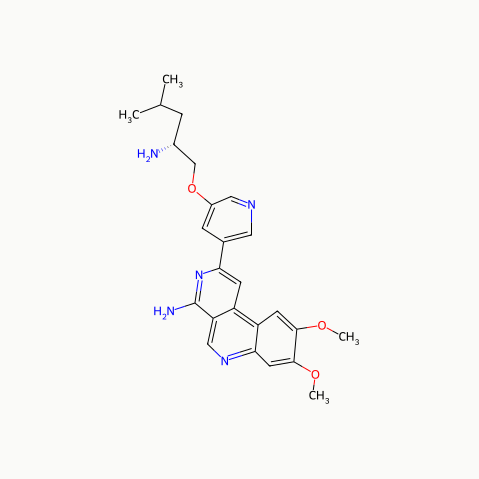 COc1cc2ncc3c(N)nc(-c4cncc(OC[C@H](N)CC(C)C)c4)cc3c2cc1OC